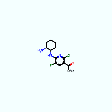 COC(=O)c1cc(F)c(NC2CCCC[C@@H]2N)nc1Cl